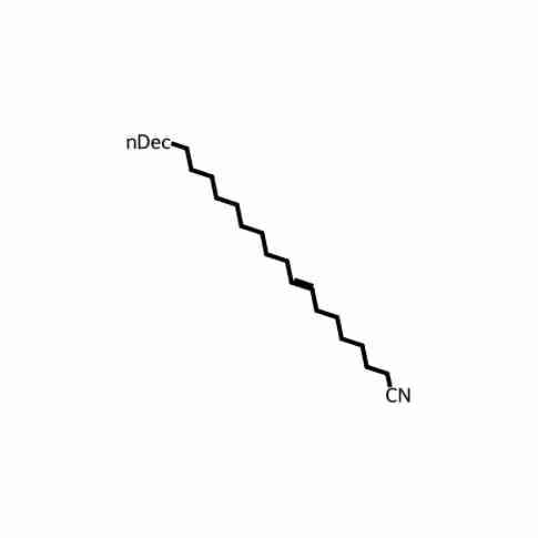 CCCCCCCCCCCCCCCCCCCC=CCCCCCCC#N